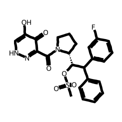 CS(=O)(=O)OC(C(c1ccccc1)c1cccc(F)c1)[C@H]1CCCN1C(=O)c1n[nH]cc(O)c1=O